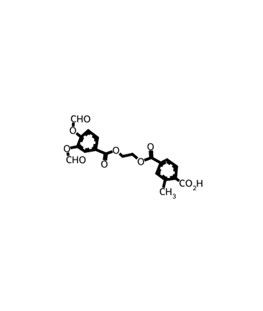 Cc1cc(C(=O)OCCOC(=O)c2ccc(OC=O)c(OC=O)c2)ccc1C(=O)O